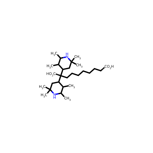 CC1NC(C)(C)CC(C(CCCCCCCC(=O)O)(C(=O)O)C2CC(C)(C)NC(C)C2C)C1C